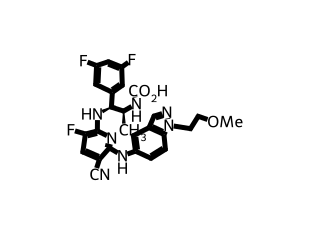 COCCn1ncc2cc(Nc3nc(N[C@@H](c4cc(F)cc(F)c4)[C@H](C)NC(=O)O)c(F)cc3C#N)ccc21